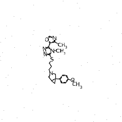 COc1ccc(C23CC2CN(CCCSc2nnc(-c4ocnc4C)n2C)C3)cc1